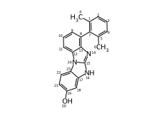 Cc1cccc(C)c1-c1cccc2c1nc1[nH]c3cc(O)ccc3n12